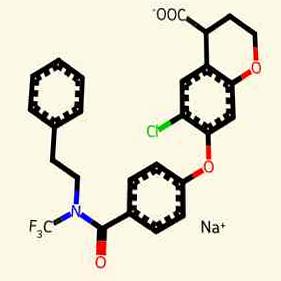 O=C([O-])C1CCOc2cc(Oc3ccc(C(=O)N(CCc4ccccc4)C(F)(F)F)cc3)c(Cl)cc21.[Na+]